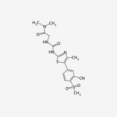 Cc1nc(NC(=O)NCC(=O)N(C)C)sc1-c1ccc(S(C)(=O)=O)c(C#N)c1